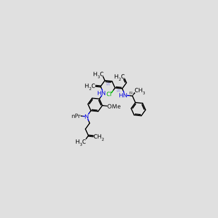 C=C/C(N[C@@H](C)c1ccccc1)=C(Cl)\C=C(\C)C(=C)Nc1ccc(N(CCC)CCC(=C)C)cc1OC